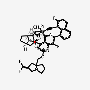 CC(C)[Si](C#Cc1c(F)ccc2cccc(-c3nc4c5c(nc(OCC67CCCN6CC(=C(F)F)C7)nc5c3F)N3C[C@H]5CC[C@@H]([C@H]3[C@H](C)O4)N5C(=O)OC(C)(C)C)c12)(C(C)C)C(C)C